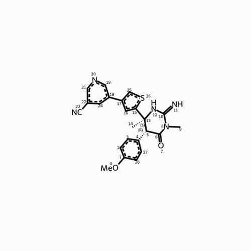 COc1ccc([C@H]2C(=O)N(C)C(=N)N[C@]2(C)c2cc(-c3cncc(C#N)c3)cs2)cc1